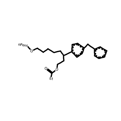 CCCCCOCCCCCC(CCOC(=O)CC)c1ccc(Cc2ccccc2)cc1